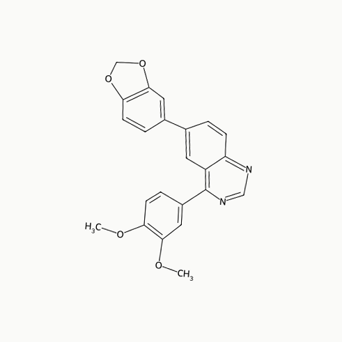 COc1ccc(-c2ncnc3ccc(-c4ccc5c(c4)OCO5)cc23)cc1OC